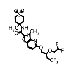 Cn1c(C(=O)NC2(C)CCS(=O)(=O)CC2)nc2ccc(OCC(CC(F)(F)F)OCC(F)F)nc21